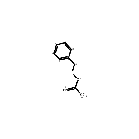 N=C(OOCc1ccccc1)C(Cl)(Cl)Cl